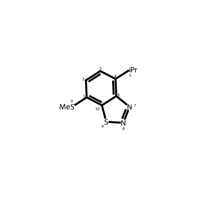 CSc1ccc(C(C)C)c2nnsc12